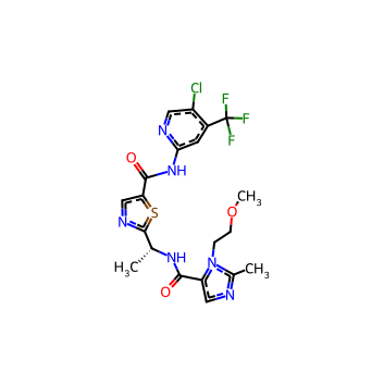 COCCn1c(C(=O)N[C@H](C)c2ncc(C(=O)Nc3cc(C(F)(F)F)c(Cl)cn3)s2)cnc1C